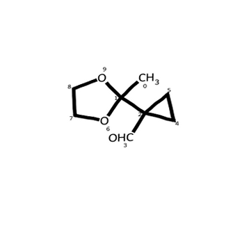 CC1(C2(C=O)CC2)OCCO1